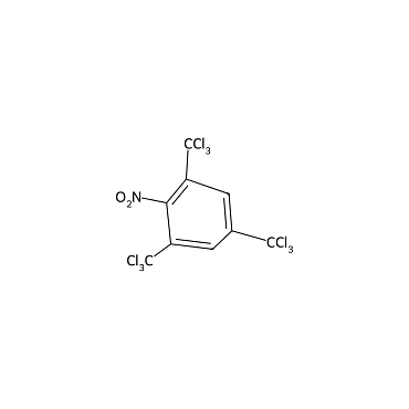 O=[N+]([O-])c1c(C(Cl)(Cl)Cl)cc(C(Cl)(Cl)Cl)cc1C(Cl)(Cl)Cl